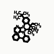 C=CC1(C)c2ccc(C(C)(C)C)cc2N2c3nccnc3N(c3ccccc3-c3ccccc3)C2C1(C)C